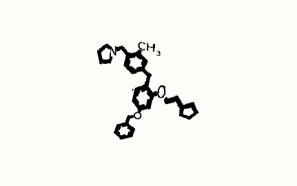 Cc1cc(Cc2[c]cc(OCc3ccccc3)cc2OCCC2CCCC2)ccc1CN1CCCC1